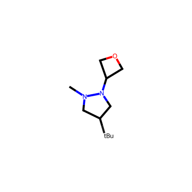 CN1CC(C(C)(C)C)CN1C1COC1